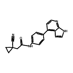 N#CC1(CC(=O)Nc2ccc(-c3ccnc4[nH]ccc34)cc2)CC1